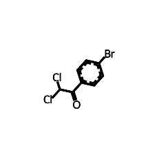 O=C(c1ccc(Br)cc1)C(Cl)Cl